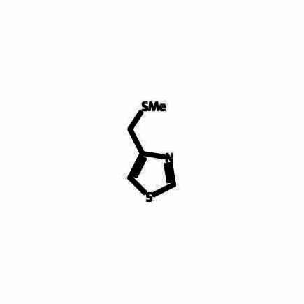 CSCc1cscn1